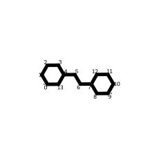 [CH]1CCCC(CCC2C[CH]CCC2)C1